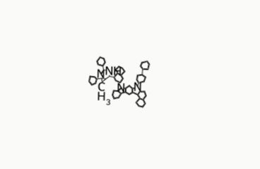 CC1C2C(c3cc(-n4c5ccccc5c5cc6c7c8ccccc8ccc7n(-c7ccc(-c8ccccc8)cc7)c6cc54)cc4ccccc34)NC(c3ccccc3)=NC12c1ccccc1